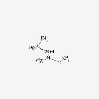 CCN(C)NC(C)O